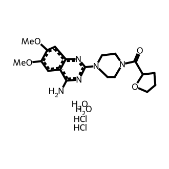 COc1cc2nc(N3CCN(C(=O)C4CCCO4)CC3)nc(N)c2cc1OC.Cl.Cl.O.O